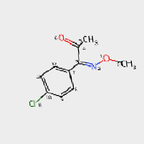 CO/N=C(\C(C)=O)c1ccc(Cl)cc1